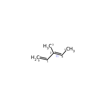 C=C/C(C)=C/C